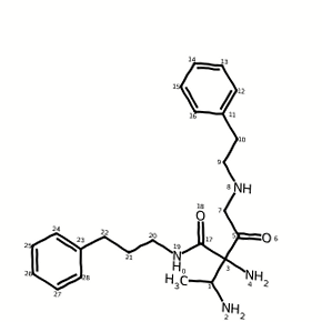 CC(N)C(N)(C(=O)CNCCc1ccccc1)C(=O)NCCCc1ccccc1